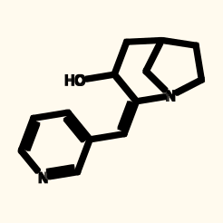 OC1CC2CCN(C2)C1=Cc1cccnc1